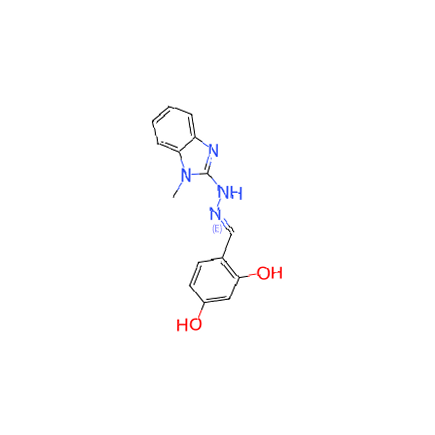 Cn1c(N/N=C/c2ccc(O)cc2O)nc2ccccc21